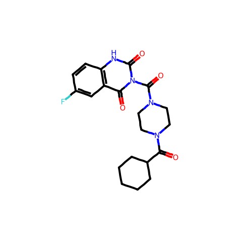 O=C(C1CCCCC1)N1CCN(C(=O)n2c(=O)[nH]c3ccc(F)cc3c2=O)CC1